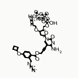 [N-]=[N+]=NCOC1C[C@H](n2cc(C#CCOC(=O)c3ccc(OC4CCC4)cc3CN=[N+]=[N-])c(N)nc2=O)O[C@@H]1COP(=O)(O)OP(=O)(O)OP(=O)(O)O